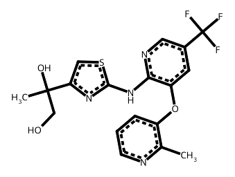 Cc1ncccc1Oc1cc(C(F)(F)F)cnc1Nc1nc(C(C)(O)CO)cs1